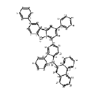 c1ccc(-c2ccc3oc4c(-c5ccc6c(c5)c5ccccc5n6-c5cc6ccccc6c6ccccc56)cc(-c5ccccc5)cc4c3c2)cc1